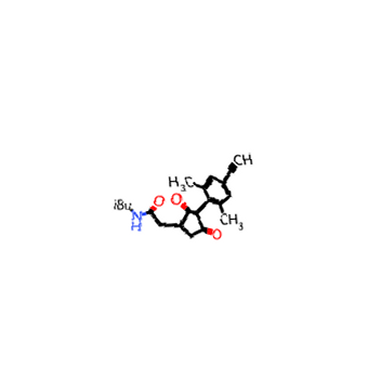 C#Cc1cc(C)c(C2C(=O)CC(CC(=O)NC(C)CC)C2=O)c(C)c1